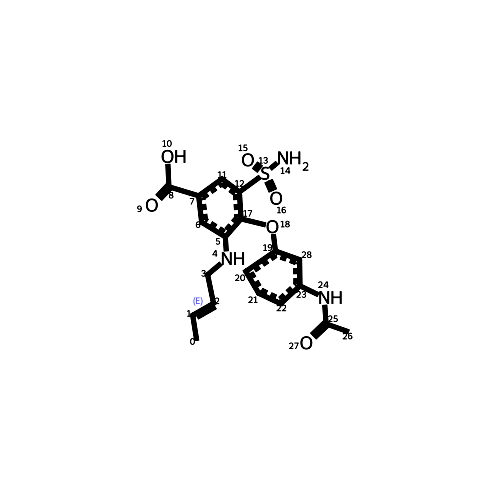 C/C=C/CNc1cc(C(=O)O)cc(S(N)(=O)=O)c1Oc1cccc(NC(C)=O)c1